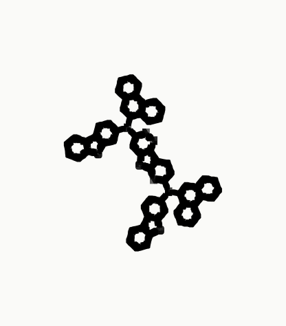 c1ccc2c(c1)cc(N(c1ccc3c(c1)oc1ccccc13)c1cc3oc4nc(N(c5ccc6c(c5)oc5ccccc56)c5cc6ccccc6c6ccccc56)ccc4c3nn1)c1ccccc12